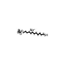 O=S(=O)([O-])OCCCCCCCCCCCCS.[Na+]